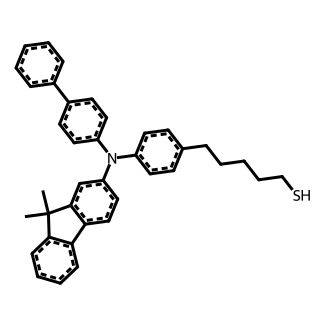 CC1(C)c2ccccc2-c2ccc(N(c3ccc(CCCCCS)cc3)c3ccc(-c4ccccc4)cc3)cc21